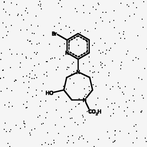 O=C(O)N1CCN(c2cccc(Br)n2)CC(O)C1